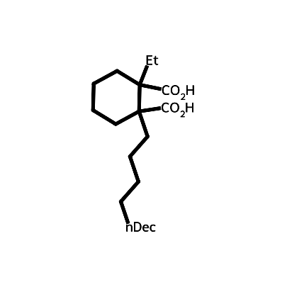 CCCCCCCCCCCCCCC1(C(=O)O)CCCCC1(CC)C(=O)O